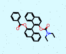 CCN(CC)C(=O)Oc1ccc2ccccc2c1-c1c(OC(=O)c2ccccc2)ccc2ccccc12